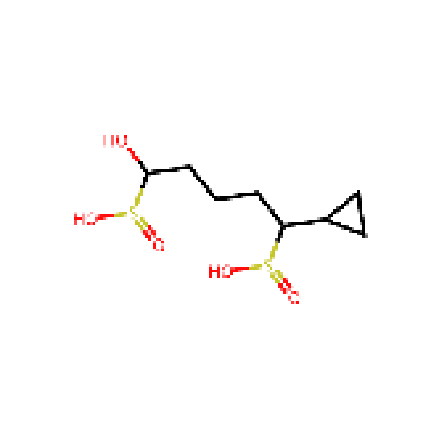 O=S(O)C(O)CCCC(C1CC1)S(=O)O